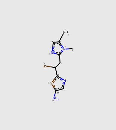 Cn1c([N+](=O)[O-])cnc1CC(S)c1ncc(N)s1